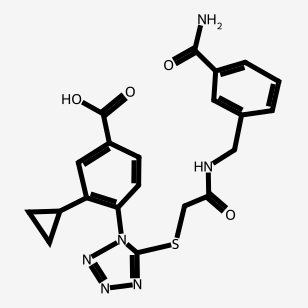 NC(=O)c1cccc(CNC(=O)CSc2nnnn2-c2ccc(C(=O)O)cc2C2CC2)c1